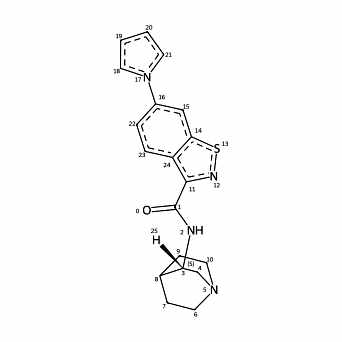 O=C(N[C@@H]1CN2CCC1CC2)c1nsc2cc(-n3cccc3)ccc12